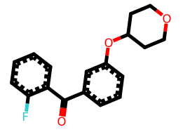 O=C(c1cccc(OC2CCOCC2)c1)c1ccccc1F